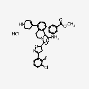 COC(=O)c1ccc([C@@]2(C(N)=O)c3cccc(C4=CCNCC4)c3CCN2C(=O)[C@H]2CC(c3cccc(Cl)c3F)=NO2)cc1.Cl